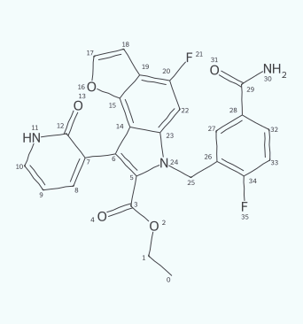 CCOC(=O)c1c(-c2ccc[nH]c2=O)c2c3occc3c(F)cc2n1Cc1cc(C(N)=O)ccc1F